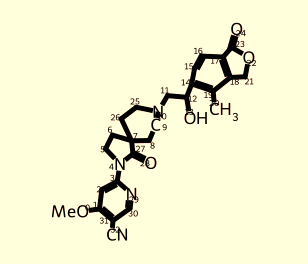 COc1cc(N2CCC3(CCN(CC(O)c4ccc5c(c4C)COC5=O)CC3)C2=O)ncc1C#N